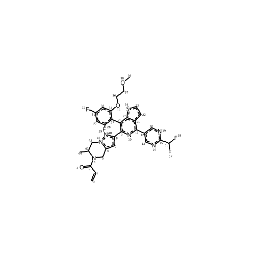 C=CC(=O)N1Cc2cc(-c3nc(-c4cnc(C(F)F)nc4)c4ccsc4c3-c3c(F)cc(F)cc3OCCOC)nn2CC1C